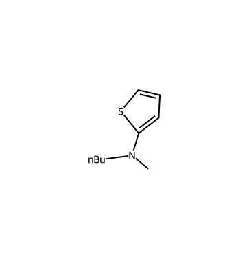 CCCCN(C)c1cccs1